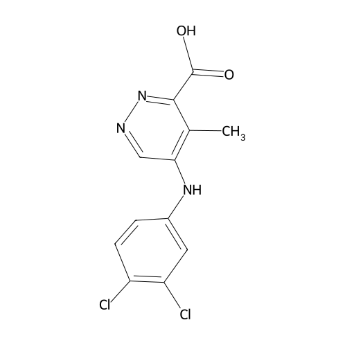 Cc1c(Nc2ccc(Cl)c(Cl)c2)cnnc1C(=O)O